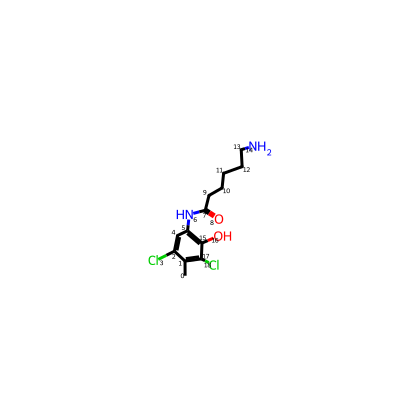 Cc1c(Cl)cc(NC(=O)CCCCCN)c(O)c1Cl